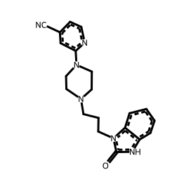 N#Cc1ccnc(N2CCN(CCCn3c(=O)[nH]c4ccccc43)CC2)c1